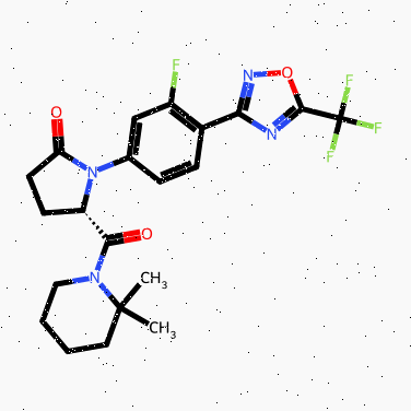 CC1(C)CCCCN1C(=O)[C@@H]1CCC(=O)N1c1ccc(-c2noc(C(F)(F)F)n2)c(F)c1